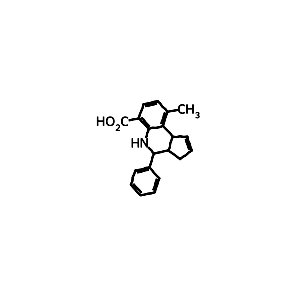 Cc1ccc(C(=O)O)c2c1C1C=CCC1C(c1ccccc1)N2